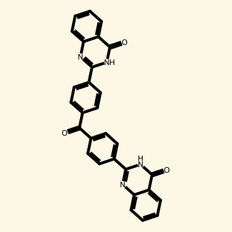 O=C(c1ccc(-c2nc3ccccc3c(=O)[nH]2)cc1)c1ccc(-c2nc3ccccc3c(=O)[nH]2)cc1